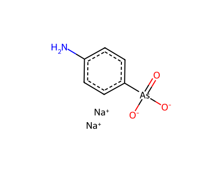 Nc1ccc([As](=O)([O-])[O-])cc1.[Na+].[Na+]